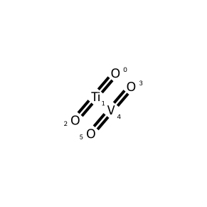 [O]=[Ti]=[O].[O]=[V]=[O]